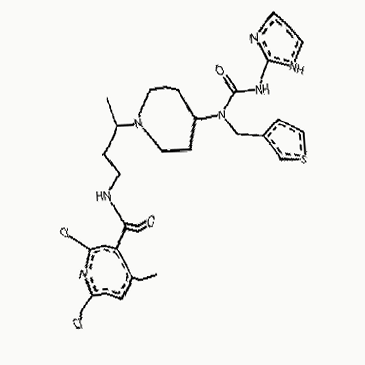 Cc1cc(Cl)nc(Cl)c1C(=O)NCCC(C)N1CCC(N(Cc2ccsc2)C(=O)Nc2ncc[nH]2)CC1